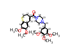 COc1cc2c(cc1OC)SCCC(C(=O)N1CCN(Cc3cc(OC)c(OC)c(OC)c3)CC1)=C2